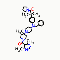 Cc1ncnc(C)c1C(=O)N1CCC(C)(N2CCC(N(Cc3ccccc3)c3ccc(C(C)(C)C(=O)N4CCCC4)cc3)CC2)CC1